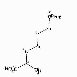 CCCCCCCCOC(O)C(=O)O